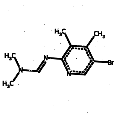 Cc1c(Br)cnc(/N=C/N(C)C)c1C